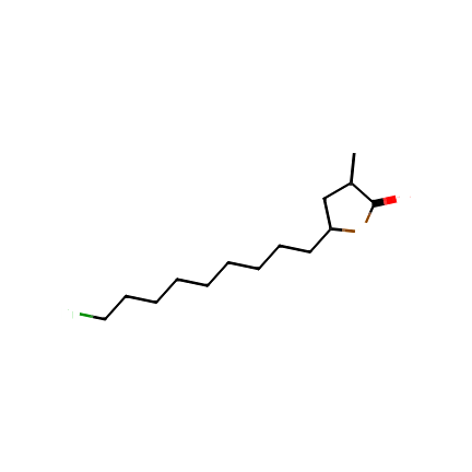 CC1CC(CCCCCCCCCBr)SC1=O